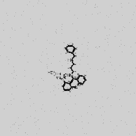 Cl.Cl.O=[N+]([O-])c1cccc2nc3ccccc3c(NCCCNCc3ccccc3)c12